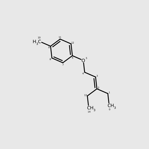 CCC(=CCOc1ccc(C)cc1)CC